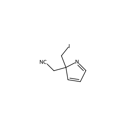 N#CCC1(CI)C=CC=N1